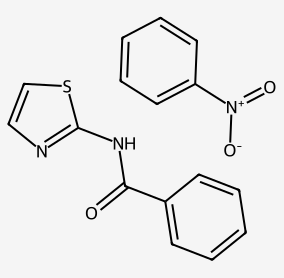 O=C(Nc1nccs1)c1ccccc1.O=[N+]([O-])c1ccccc1